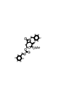 C=C(C(=O)OC)C1C(CCOC(=O)OCc2ccccc2)C(=O)N1Cc1ccccc1